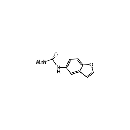 CNC(=O)Nc1ccc2occc2c1